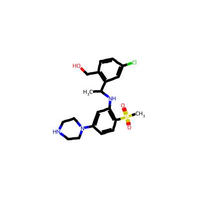 CC(Nc1cc(N2CCNCC2)ccc1S(C)(=O)=O)c1cc(Cl)ccc1CO